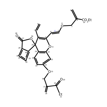 C=CC1=C(/C=C/OCC(=C)C(=O)OCC)Oc2cc(OCC(=C)C(=O)CC)ccc2C12OC(=O)c1ccccc12